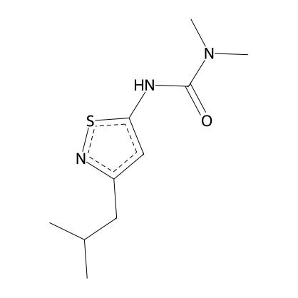 CC(C)Cc1cc(NC(=O)N(C)C)sn1